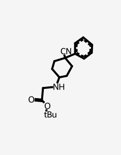 CC(C)(C)OC(=O)CNC1CCC(C#N)(c2ccccc2)CC1